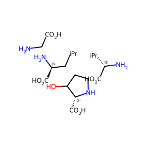 CC(C)C[C@H](N)C(=O)O.CC(C)[C@H](N)C(=O)O.NCC(=O)O.O=C(O)[C@H]1NCCC1O